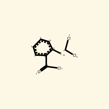 ClCCl.O=C(Cl)c1ccccc1I